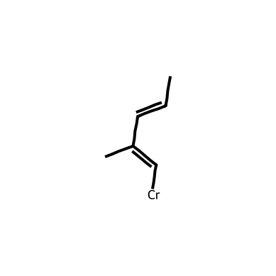 CC=CC(C)=[CH][Cr]